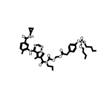 CCCCOP(=O)(OCCCC)Oc1ccc(CC(=O)OCOC(=O)N(CCC)C(=O)c2cn3ncnc(Nc4cc(C(=O)NC5CC5)ccc4C)c3c2C)cc1